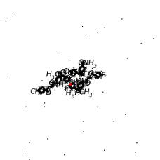 CN(C)C1(Cc2ccc(Cl)cc2)CCC(C(N)=O)CC1.CN(C)C1(Cc2cccc(F)c2)CCC(NC(=O)CCC(=O)c2ccc(F)cc2)CC1.Cc1ccc(CC2(N(C)C)CCC(NC(=O)CCC(=O)c3ccc(Cl)cc3)CC2)cc1